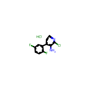 Cl.Nc1c(-c2cc(F)ccc2F)ccnc1Cl